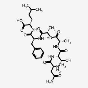 CC(C)CC[C@H](NC(=O)[C@H](Cc1ccccc1)NC(=O)[C@H](C)NC(=O)[C@H](C)NC(=O)[C@@H](NC(=O)[C@@H](N)CC(N)=O)[C@@H](C)O)C(=O)O